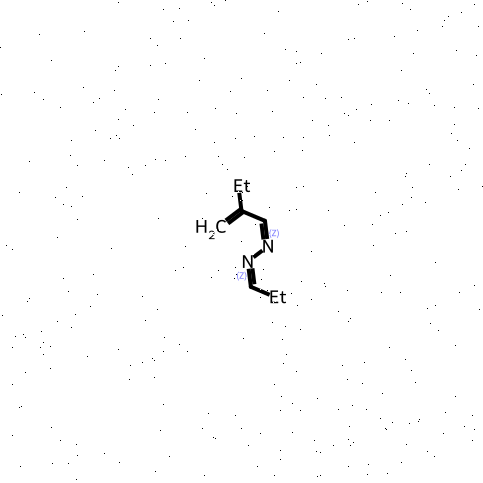 C=C(/C=N\N=C/CC)CC